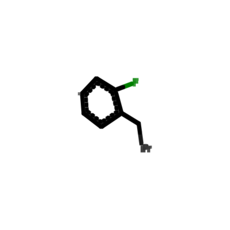 CC(C)Cc1cc[c]cc1F